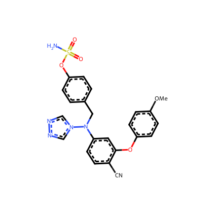 COc1ccc(Oc2cc(N(Cc3ccc(OS(N)(=O)=O)cc3)n3cnnc3)ccc2C#N)cc1